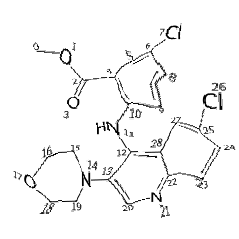 COC(=O)c1cc(Cl)ccc1Nc1c(N2CCOCC2)cnc2ccc(Cl)cc12